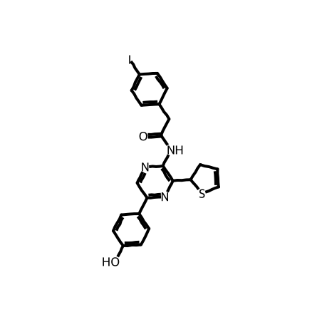 O=C(Cc1ccc(I)cc1)Nc1ncc(-c2ccc(O)cc2)nc1C1CC=CS1